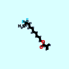 C=C(C)C(=O)OCCCCCCCCC(F)(F)[SiH3]